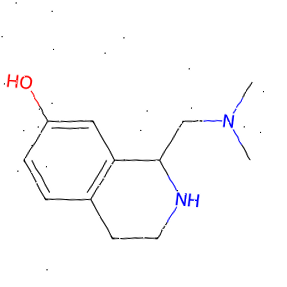 CN(C)CC1NCCc2ccc(O)cc21